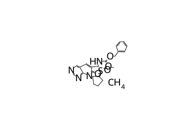 C.O=C(NC1c2cc3cncnc3n(c2=O)C2CCCC2[S+]1[O-])OCc1ccccc1